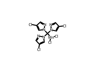 Clc1cnn([C](n2cc(Cl)cn2)(n2cc(Cl)cn2)[Mn]([Cl])[Cl])c1